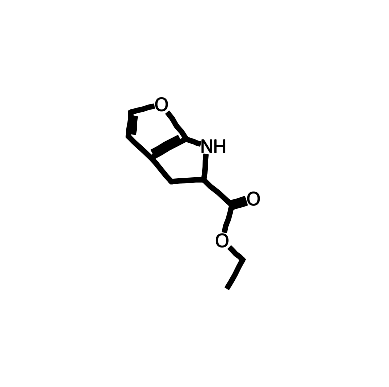 CCOC(=O)C1Cc2ccoc2N1